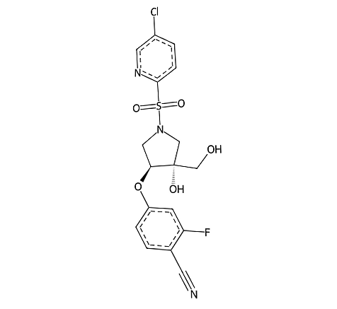 N#Cc1ccc(O[C@H]2CN(S(=O)(=O)c3ccc(Cl)cn3)C[C@@]2(O)CO)cc1F